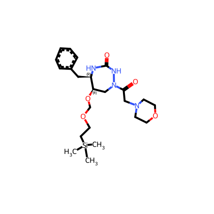 C[Si](C)(C)CCOCO[C@@H]1CN(C(=O)CN2CCOCC2)NC(=O)N[C@@H]1Cc1ccccc1